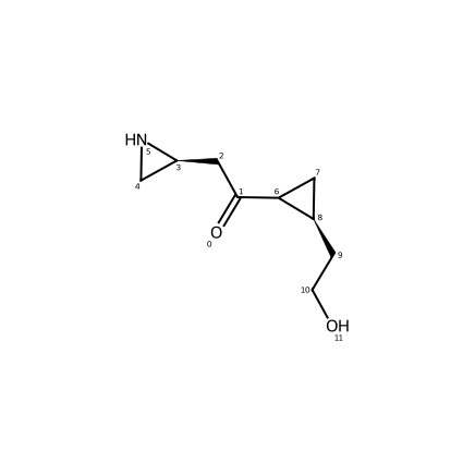 O=C(C[C@H]1CN1)C1C[C@H]1CCO